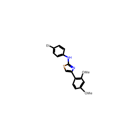 CCc1ccc(Nc2nc(-c3ccc(OC)cc3OC)cs2)cc1